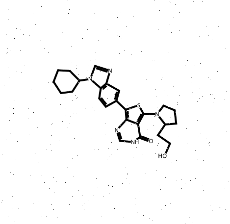 O=c1[nH]cnc2c(-c3ccc4c(c3)ncn4C3CCCCC3)sc(N3CCCC3CCO)c12